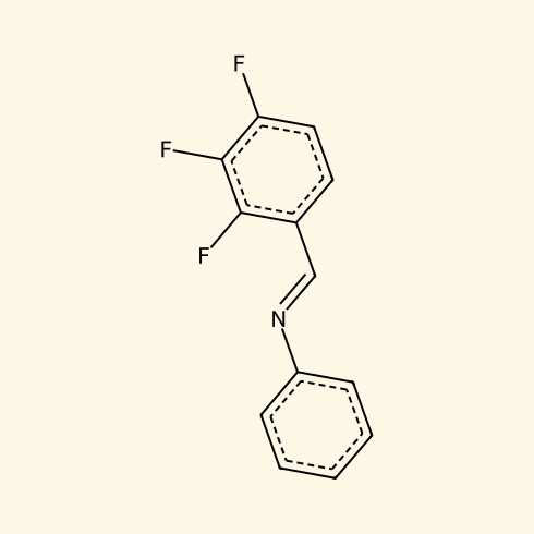 Fc1ccc(C=Nc2ccccc2)c(F)c1F